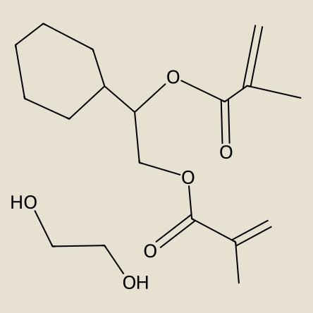 C=C(C)C(=O)OCC(OC(=O)C(=C)C)C1CCCCC1.OCCO